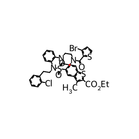 CCOC(=O)c1sc2ccc(S(=O)(=O)N(CCc3ccccc3Cl)c3ccccc3N3CCN(C(=O)c4sccc4Br)CC3)cc2c1C